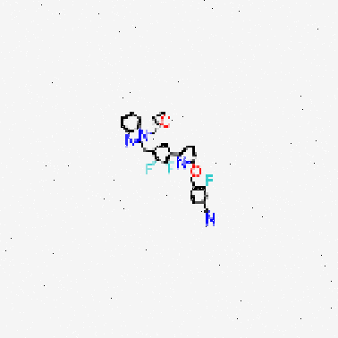 N#Cc1ccc(COc2cccc(-c3ccc(Cc4nc5ccccc5n4C[C@@H]4CCO4)c(F)c3F)n2)c(F)c1